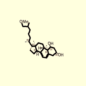 COCC(C)CCC[C@@H](C)[C@H]1CC[C@H]2C3=CC=C4C[C@@H](O)C[C@H](O)[C@]4(C)[C@H]3CC[C@]12C